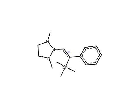 CN1CCN(C)B1/C=[C](/c1ccccc1)[Sn]([CH3])([CH3])[CH3]